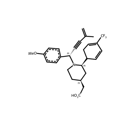 C=C(C)C#C[C@@H](c1ccc(OC)cc1)N1CC[C@H](CC(=O)O)C[C@@H]1C1C=CC(C(F)(F)F)=CC1